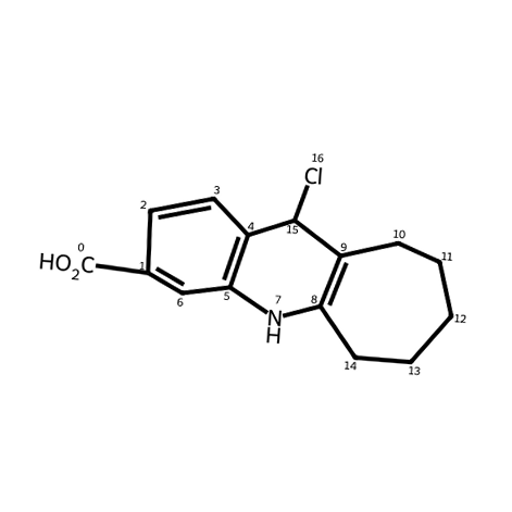 O=C(O)c1ccc2c(c1)NC1=C(CCCCC1)C2Cl